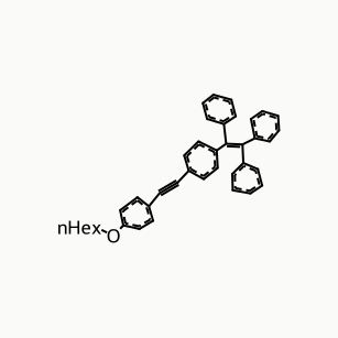 CCCCCCOc1ccc(C#Cc2ccc(C(=C(c3ccccc3)c3ccccc3)c3ccccc3)cc2)cc1